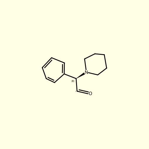 O=[C][C@@H](c1ccccc1)N1CCCCC1